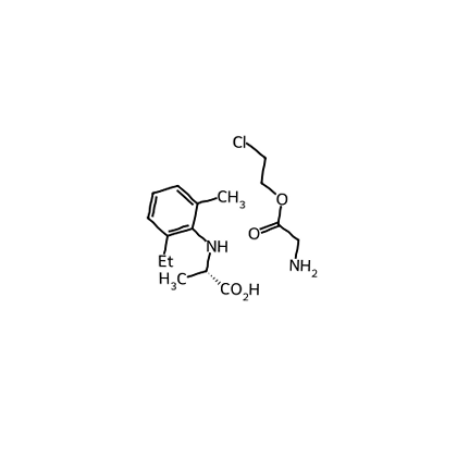 CCc1cccc(C)c1N[C@@H](C)C(=O)O.NCC(=O)OCCCl